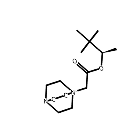 C[C@@H](OC(=O)C[N+]12CCN(CC1)CC2)C(C)(C)C